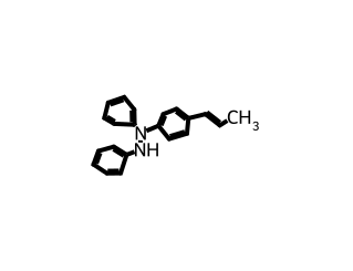 C/C=C/c1ccc(N(Nc2ccccc2)c2ccccc2)cc1